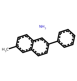 Cc1ccc2cc(-c3ccccc3)ccc2c1.N